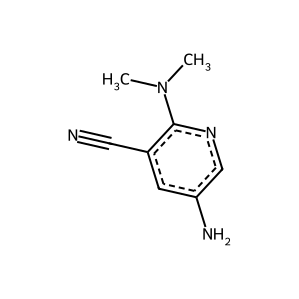 CN(C)c1ncc(N)cc1C#N